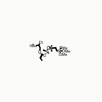 C/C=C(/OCC(CC)CCCC)O[Si](C)(C)O[Si](C)(C)CC[Si](OC)(OC)OC